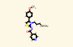 CC(=O)NCCCn1c(-c2ccc(OC(F)(F)F)cc2)cs/c1=N\C(=O)c1ccncc1